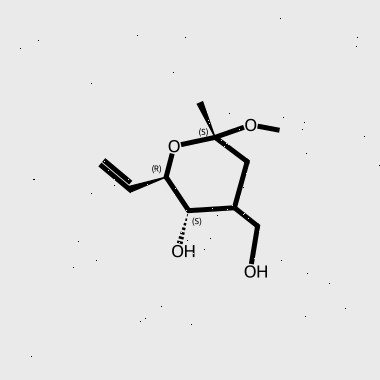 C=C[C@H]1O[C@](C)(OC)CC(CO)[C@@H]1O